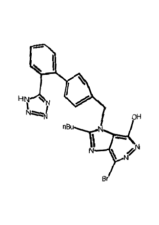 CCCCc1nc2c(Br)nnc(O)c2n1Cc1ccc(-c2ccccc2-c2nnn[nH]2)cc1